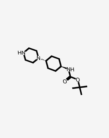 CC(C)(C)OC(=O)N[C@H]1CC[C@H](N2CCNCC2)CC1